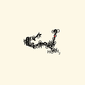 C=C1C[C@H](CC[C@]23CCC(O2)[C@H]2C[C@@H](O3)[C@H]3OC(CC(=O)C[C@H]4CO[C@H](CC(O)CNC(=O)OCc5ccc(NC(=O)C(CCCNC(N)O)NC(=O)[C@@H](NC(=O)CCOCCOCCN6C(=O)C=CC6=O)C(C)C)cc5)[C@@H]4OC)CC[C@@H]3O2)O[C@H]1CCC1C[C@@H](C)C(=C)[C@@H](C)O1